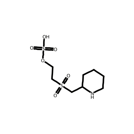 O=S(=O)(CCOS(=O)(=O)O)CC1CCCCN1